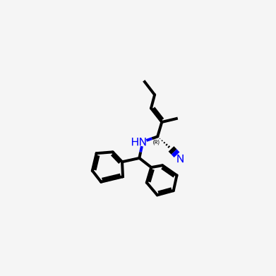 CCC=C(C)[C@H](C#N)NC(c1ccccc1)c1ccccc1